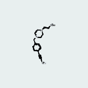 CC(C)(C)C#Cc1ccc(CN2CCN(CCC(C)(C)C)CC2)cc1